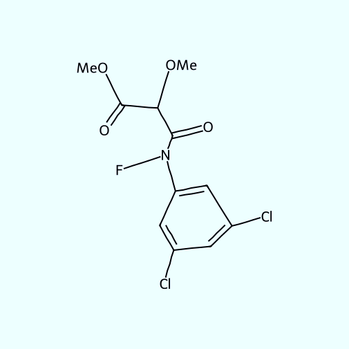 COC(=O)C(OC)C(=O)N(F)c1cc(Cl)cc(Cl)c1